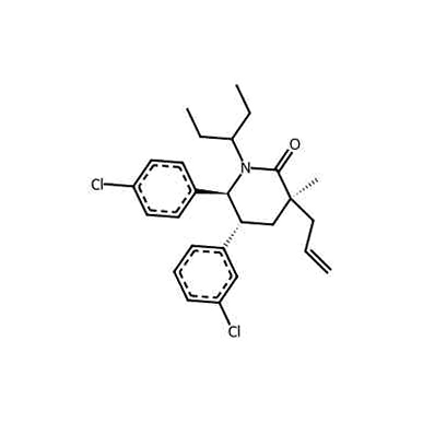 C=CC[C@@]1(C)C[C@H](c2cccc(Cl)c2)[C@@H](c2ccc(Cl)cc2)N(C(CC)CC)C1=O